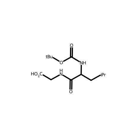 CC(C)CC(NC(=O)OC(C)(C)C)C(=O)NCC(=O)O